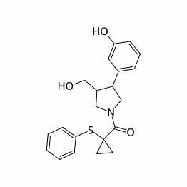 O=C(N1CC(CO)C(c2cccc(O)c2)C1)C1(Sc2ccccc2)CC1